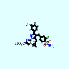 CCOC(=O)c1csc(-n2nc(-c3ccc(F)c(C(C)=O)c3)c(Cc3ccc(S(N)(=O)=O)c(F)c3)c2CC2CC2)n1